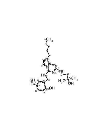 CCCCCn1cnc2c(NCc3cc(OC)ccc3O)nc(NCCC(C)(C)O)nc21